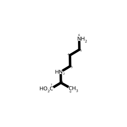 CC(NCCCN)C(=O)O